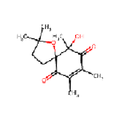 CC1=C(C)C(=O)C2(CCC(C)(C)O2)C(C)(O)C1=O